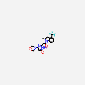 C[C@H]1Cc2c(cccc2C(F)(F)F)N1C(=O)Cc1nc(N2CCOCC2)cc(=O)[nH]1